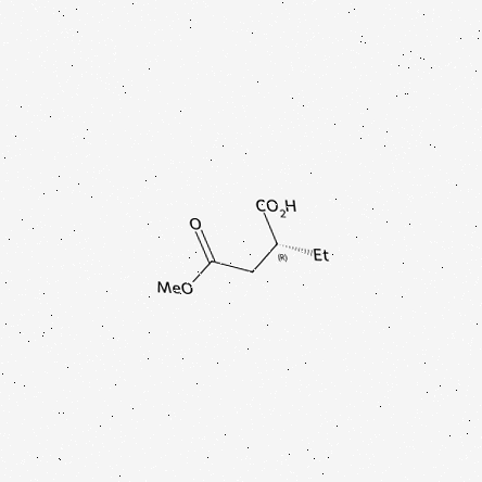 CC[C@H](CC(=O)OC)C(=O)O